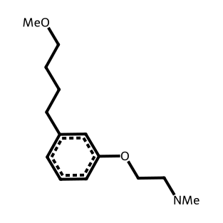 CNCCOc1cccc(CCCCOC)c1